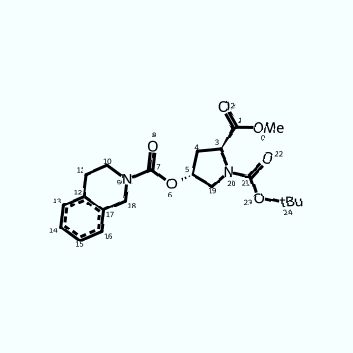 COC(=O)[C@@H]1C[C@@H](OC(=O)N2CCc3ccccc3C2)CN1C(=O)OC(C)(C)C